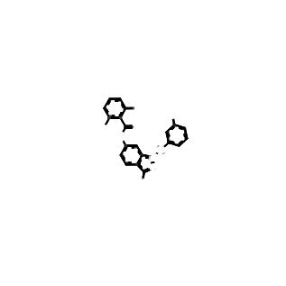 O=Cc1nn(S(=O)(=O)c2cccc(C(F)(F)F)c2)c2cc(NC(=O)c3c(F)cccc3Cl)ccc12